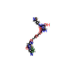 Cc1cc(OCCCCCOCCCOCC(=O)N[C@H](C(=O)N2C[C@H](O)C[C@H]2C(=O)NCc2ccc(-c3scnc3C)cc2)C(C)(C)C)ncc1N1C(=S)N(c2ccc(C#N)c(C(F)(F)F)c2F)C(=O)C1(C)C